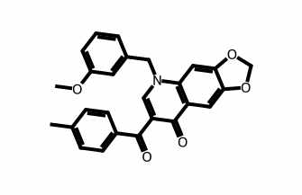 COc1cccc(Cn2cc(C(=O)c3ccc(C)cc3)c(=O)c3cc4c(cc32)OCO4)c1